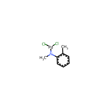 Cc1ccccc1[N](C)[Pd]([Cl])[Cl]